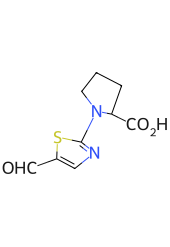 O=Cc1cnc(N2CCCC2C(=O)O)s1